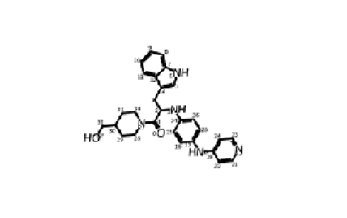 O=C(C(Cc1c[nH]c2ccccc12)Nc1ccc(Nc2ccncc2)cc1)N1CCC(CO)CC1